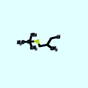 [Li][CH2]C(C)CS[Si](C)(C)C(C)(C)C